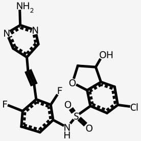 Nc1ncc(C#Cc2c(F)ccc(NS(=O)(=O)c3cc(Cl)cc4c3OCC4O)c2F)cn1